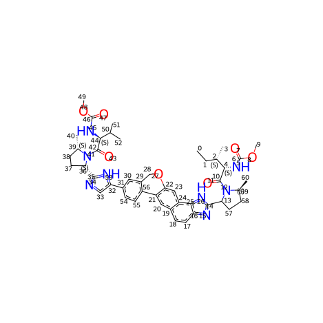 CC[C@H](C)[C@H](NC(=O)OC)C(=O)N1C(c2nc3ccc4cc5c(cc4c3[nH]2)OCc2cc(-c3cnc([C@@H]4CC[C@H](C)N4C(=O)[C@@H](NC(=O)OC)C(C)C)[nH]3)ccc2-5)CC[C@@H]1C